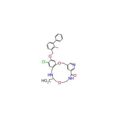 Cc1c(COc2cc3c(cc2Cl)CNC(C(=O)O)COCCNC(=O)c2cncc(c2)CO3)cccc1-c1ccccc1